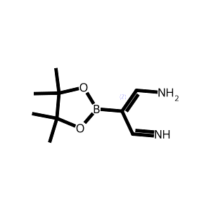 CC1(C)OB(/C(C=N)=C/N)OC1(C)C